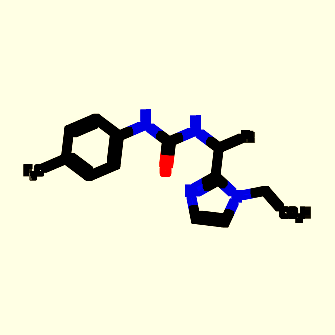 CCC(NC(=O)Nc1ccc(C(F)(F)F)cc1)c1nccn1CC(=O)O